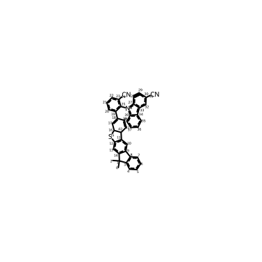 CC1(C)c2ccccc2-c2cc3c(cc21)SC1C=C(c2cccc(C#N)c2-n2c4c#cc(C#N)cc4c4ccccc42)C=CC31